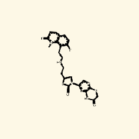 Cn1c(=O)ccc2ccc(F)c(CCNCCC3CN(c4cnc5c(n4)NC(=O)CO5)C(=O)O3)c21